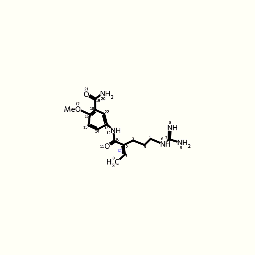 C/C=C(/CCCNC(=N)N)C(=O)Nc1ccc(OC)c(C(N)=O)c1